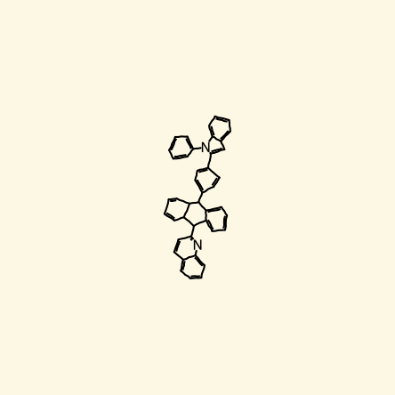 C1=CC2C(c3ccc(-c4cc5ccccc5n4-c4ccccc4)cc3)c3ccccc3C(c3ccc4ccccc4n3)C2C=C1